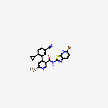 Cc1cc(-c2cc(C#N)ccc2C2CC2)c(C(=O)Nc2nc3ccc(Br)nc3s2)cn1